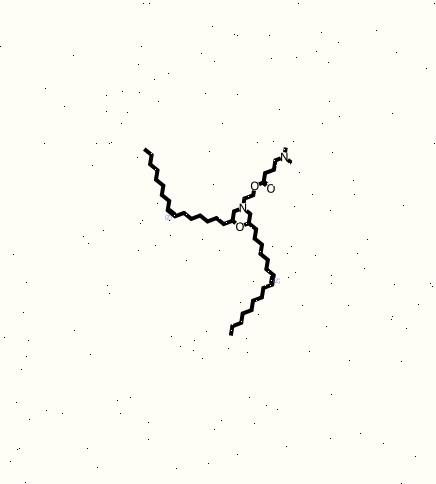 CCCCCCCC/C=C\CCCCCCC1CN(CCOC(=O)CCCN(C)C)CC(CCCCCC/C=C\CCCCCCCC)O1